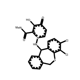 CNC(=O)c1c(O)c(=O)ccn1NC1c2ccccc2CSc2c1ccc(Cl)c2Cl